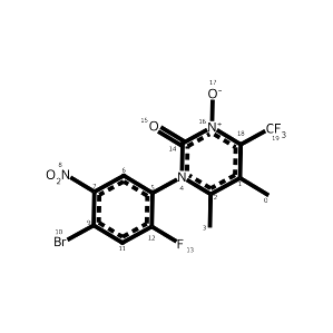 Cc1c(C)n(-c2cc([N+](=O)[O-])c(Br)cc2F)c(=O)[n+]([O-])c1C(F)(F)F